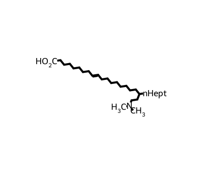 CCCCCCCC(CCCCCCCCC=CCCCCCCCC(=O)O)CCN(C)C